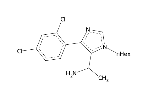 CCCCCCn1cnc(-c2ccc(Cl)cc2Cl)c1C(C)N